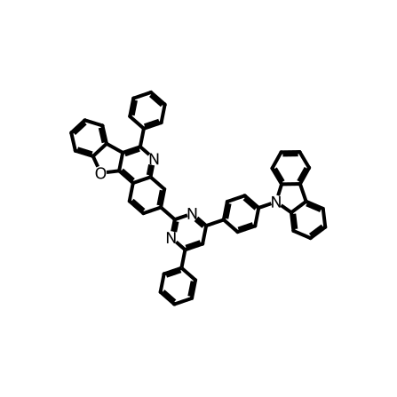 c1ccc(-c2cc(-c3ccc(-n4c5ccccc5c5ccccc54)cc3)nc(-c3ccc4c(c3)nc(-c3ccccc3)c3c5ccccc5oc43)n2)cc1